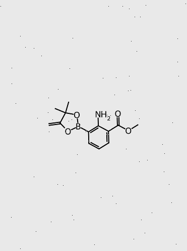 C=C1OB(c2cccc(C(=O)OC)c2N)OC1(C)C